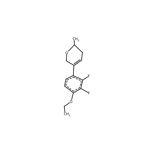 CCOc1ccc(C2=CCC(C)OC2)c(F)c1F